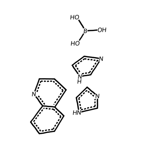 OB(O)O.c1c[nH]cn1.c1c[nH]cn1.c1ccc2ncccc2c1